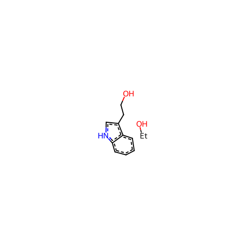 CCO.OCCc1c[nH]c2ccccc12